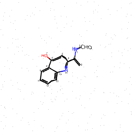 C=C(NC=O)c1cc(O)c2ccccc2n1